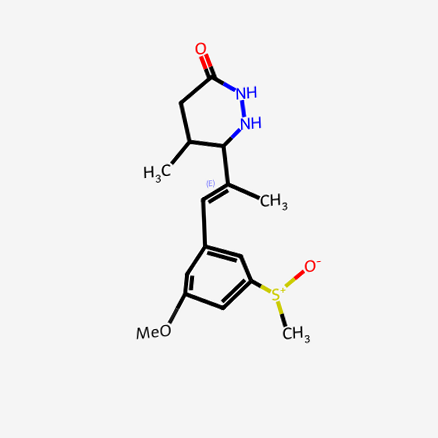 COc1cc(/C=C(\C)C2NNC(=O)CC2C)cc([S+](C)[O-])c1